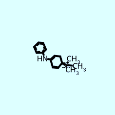 C[Si](C)(C)C1C=CC(Nc2ccccc2)=CC1